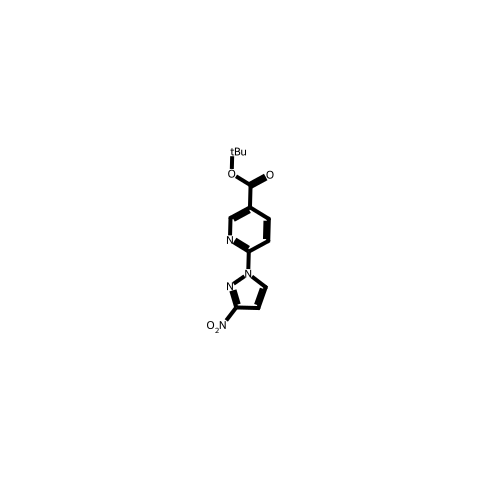 CC(C)(C)OC(=O)c1ccc(-n2ccc([N+](=O)[O-])n2)nc1